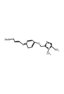 CNCC=CN=C1C=CC(OCc2ncc([N+](=O)[O-])n2C)=CC1